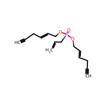 C#CCC=CCOP(=O)(CC=C)OCC=CCC#C